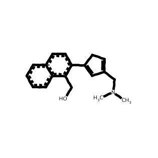 CN(C)CC1=CCC(c2ccc3ccccc3c2CO)=C1